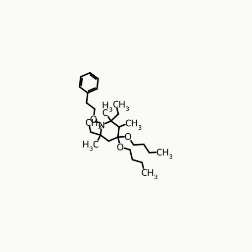 CCCCOC1(OCCCC)CC(C)(CC)N(OCCc2ccccc2)C(C)(CC)C1C